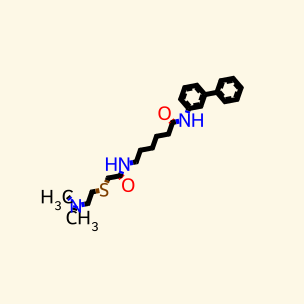 CN(C)CCSCC(=O)NCCCCCC(=O)Nc1cccc(-c2ccccc2)c1